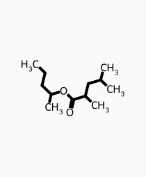 CCCC(C)OC(=O)C(C)CC(C)C